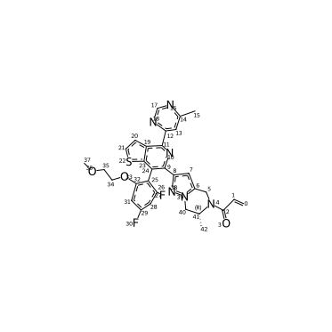 C=CC(=O)N1Cc2cc(-c3nc(-c4cc(C)ncn4)c4ccsc4c3-c3c(F)cc(F)cc3OCCOC)nn2C[C@H]1C